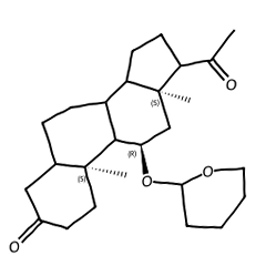 CC(=O)C1CCC2C3CCC4CC(=O)CC[C@]4(C)C3[C@H](OC3CCCCO3)C[C@]12C